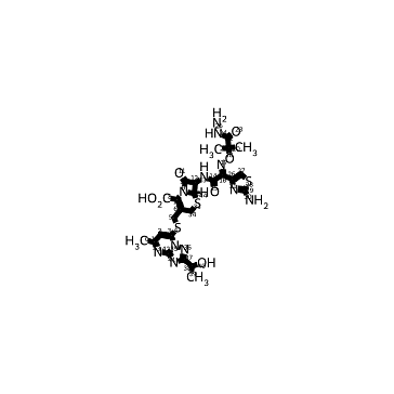 Cc1cc(SCC2=C(C(=O)O)N3C(=O)C(NC(=O)C(=NOC(C)(C)C(=O)NN)c4csc(N)n4)[C@@H]3SC2)n2nc(C(C)O)nc2n1